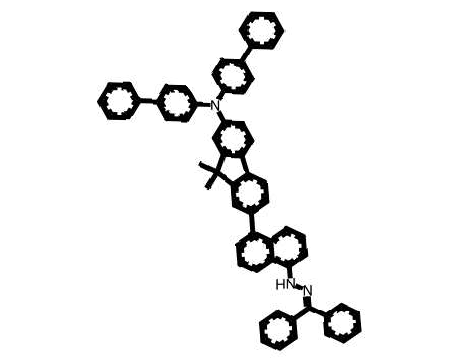 CC1(C)c2cc(-c3cccc4c(NN=C(c5ccccc5)c5ccccc5)cccc34)ccc2-c2ccc(N(c3ccc(-c4ccccc4)cc3)c3ccc(-c4ccccc4)cc3)cc21